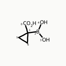 O=C(O)C1(B(O)O)CC1